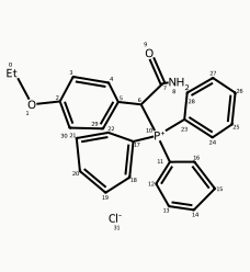 CCOc1ccc(C(C(N)=O)[P+](c2ccccc2)(c2ccccc2)c2ccccc2)cc1.[Cl-]